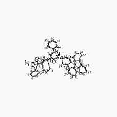 CC1(C)c2ccccc2-c2ccc(-c3cc(-c4ccc5c(c4)-c4ccccc4C54c5ccccc5-c5ccccc54)nc(-c4ccccc4)n3)cc21